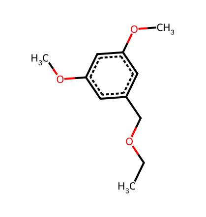 CCOCc1cc(OC)cc(OC)c1